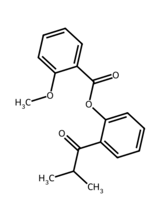 COc1ccccc1C(=O)Oc1ccccc1C(=O)C(C)C